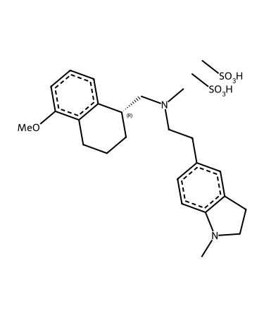 COc1cccc2c1CCC[C@H]2CN(C)CCc1ccc2c(c1)CCN2C.CS(=O)(=O)O.CS(=O)(=O)O